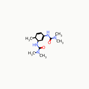 CC1C=CC(NC(=O)N(C)C)=CC1NC(=O)N(C)C